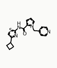 O=C(Nc1nc(C2CCC2)cs1)c1cccn1Cc1ccncc1